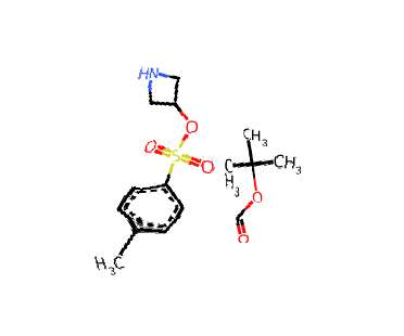 CC(C)(C)OC=O.Cc1ccc(S(=O)(=O)OC2CNC2)cc1